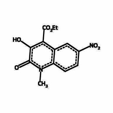 CCOC(=O)c1c(O)c(=O)n(C)c2ccc([N+](=O)[O-])cc12